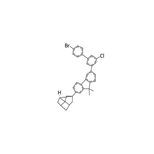 CC1(C)c2ccc(-c3cc(Cl)cc(-c4ccc(Br)cc4)c3)cc2-c2ccc(C34CC5CC6C[C@@H]3C65C4)cc21